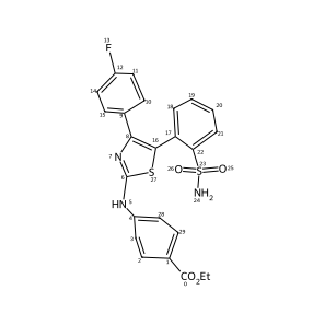 CCOC(=O)c1ccc(Nc2nc(-c3ccc(F)cc3)c(-c3ccccc3S(N)(=O)=O)s2)cc1